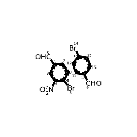 O=Cc1ccc(Br)c([N+](=O)[O-])c1.O=Cc1ccc(Br)cc1